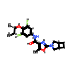 CCc1oc(N2CC3CCC3C2)nc1C(=O)Nc1cc(F)c(O[C@@H](CC)CC(C)C)c(F)c1